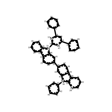 c1ccc(-c2cc(-c3ccccc3)nc(-n3c4ccccc4c4ccc(-c5ccc6c7cccnc7n(-c7ccccc7)c6c5)cc43)n2)cc1